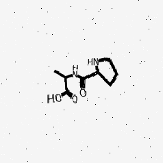 CC(NC(=O)C1CCCN1)C(=O)O